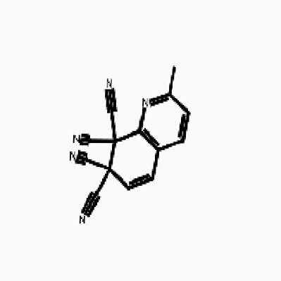 Cc1ccc2c(n1)C(C#N)(C#N)C(C#N)(C#N)C=C2